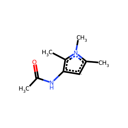 CC(=O)Nc1[c]c(C)n(C)c1C